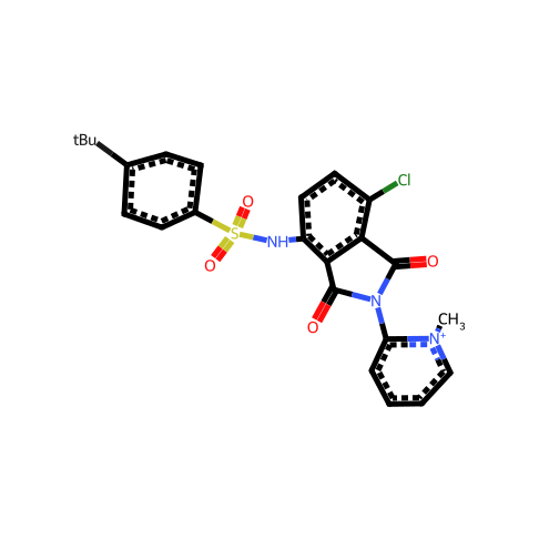 C[n+]1ccccc1N1C(=O)c2c(Cl)ccc(NS(=O)(=O)c3ccc(C(C)(C)C)cc3)c2C1=O